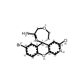 NC1=N[C@]2(CCOC1)c1cc(Br)ccc1Oc1cnc(Cl)cc12